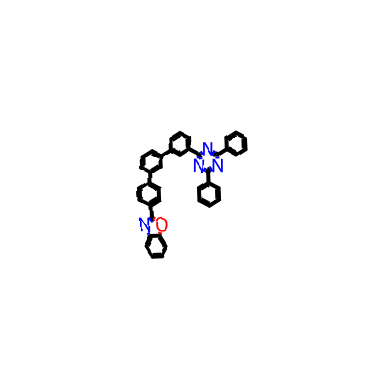 c1ccc(-c2nc(-c3ccccc3)nc(-c3cccc(-c4cccc(-c5ccc(-c6nc7ccccc7o6)cc5)c4)c3)n2)cc1